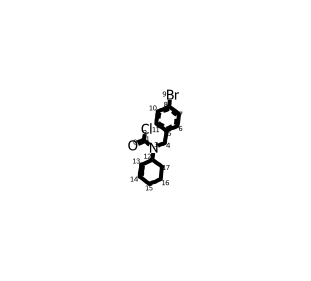 O=C(Cl)N(Cc1ccc(Br)cc1)C1C=CCCC1